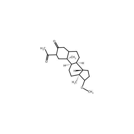 COC1CC[C@H]2[C@@H]3CCC4CC(=O)C(C(C)=O)C[C@]4(C)[C@@H]3CC[C@]12C